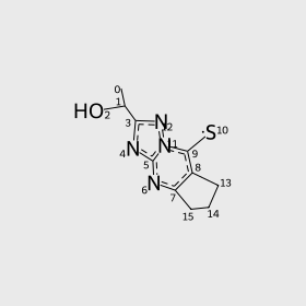 CC(O)c1nc2nc3c(c([S])n2n1)CCC3